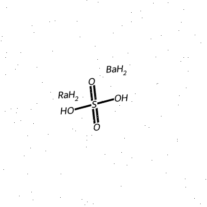 O=S(=O)(O)O.[BaH2].[RaH2]